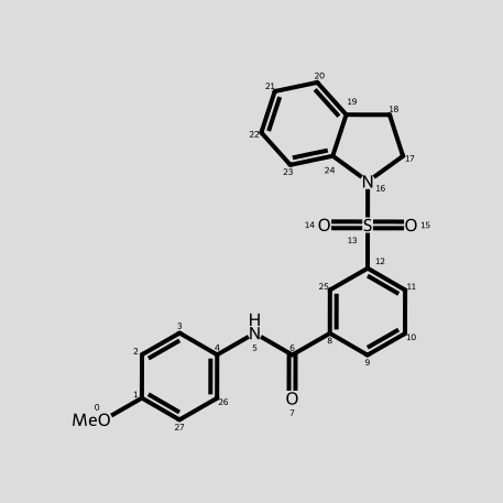 COc1ccc(NC(=O)c2cccc(S(=O)(=O)N3CCc4ccccc43)c2)cc1